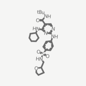 CC(C)(C)NC(=O)c1cnc(Nc2ccc(S(=O)(=O)NCC3CCCO3)cc2)nc1NC1CCCCC1